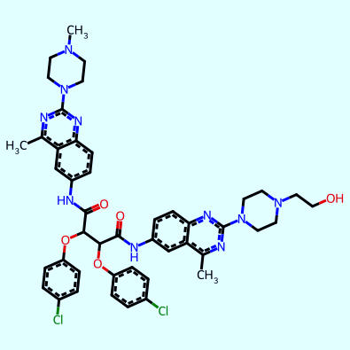 Cc1nc(N2CCN(C)CC2)nc2ccc(NC(=O)C(Oc3ccc(Cl)cc3)C(Oc3ccc(Cl)cc3)C(=O)Nc3ccc4nc(N5CCN(CCO)CC5)nc(C)c4c3)cc12